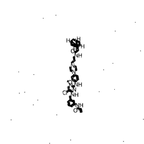 C=CC(=O)Nc1cccc(CNc2nc(Nc3ccc(N4CCN(CCCNC(=O)CC5[C@H]6C[C@H]7C[C@H](C6)C[C@H]5C7)CC4)cc3OC)ncc2Cl)c1